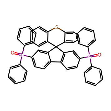 O=P(c1ccccc1)(c1ccccc1)c1ccc2c(c1)C1(c3ccccc3Sc3ccccc31)c1cc(P(=O)(c3ccccc3)c3ccccc3)ccc1-2